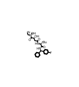 CC(C)CN(O)C(=O)[C@@H](O)CC(=O)N[C@H](C(=O)NC(c1ccccc1)c1ccc(F)cc1)C(C)(C)C